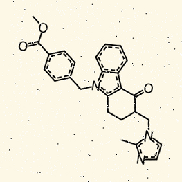 COC(=O)c1ccc(Cn2c3c(c4ccccc42)C(=O)C(Cn2ccnc2C)CC3)cc1